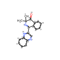 CC1(C)N=C(c2cnc3ccccc3n2)c2ccccc2C1=O